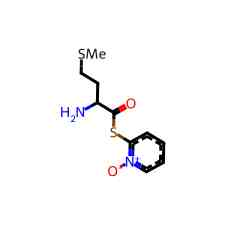 CSCCC(N)C(=O)Sc1cccc[n+]1[O-]